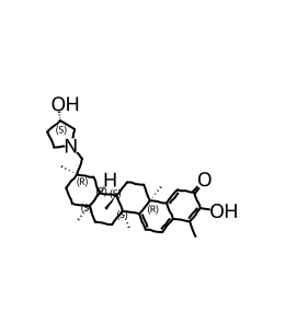 CC1=C(O)C(=O)C=C2C1=CC=C1[C@@]2(C)CC[C@@]2(C)[C@@H]3C[C@](C)(CN4CC[C@H](O)C4)CC[C@]3(C)CC[C@]12C